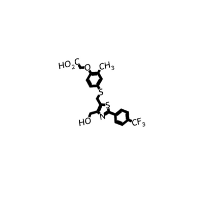 Cc1cc(SCc2sc(-c3ccc(C(F)(F)F)cc3)nc2CO)ccc1OCC(=O)O